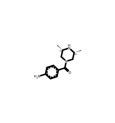 C[C@@H]1CN(C(=O)c2ccc(N)cc2)C[C@H](C)N1